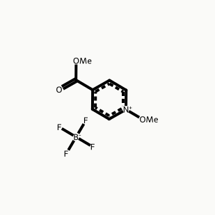 COC(=O)c1cc[n+](OC)cc1.F[B-](F)(F)F